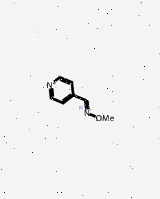 CO/N=C/C1=CC=[N+]C=C1